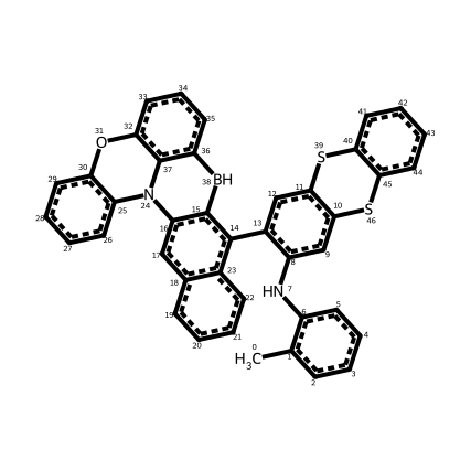 Cc1ccccc1Nc1cc2c(cc1-c1c3c(cc4ccccc14)N1c4ccccc4Oc4cccc(c41)B3)Sc1ccccc1S2